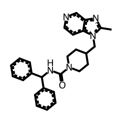 Cc1nc2cnccc2n1CC1CCN(C(=O)NC(c2ccccc2)c2ccccc2)CC1